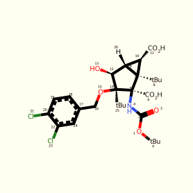 CC(C)(C)OC(=O)N[C@]1(C(=O)O)[C@@]2(C(C)(C)C)[C@@H]([C@H]2C(=O)O)[C@H](O)[C@]1(OCc1ccc(Cl)c(Cl)c1)C(C)(C)C